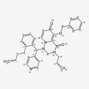 C=CCCc1ccccc1C(c1ccncc1)N1CN(CC=C)C(=O)c2c(OCc3ccccc3)c(=O)ccn21